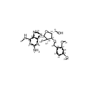 CNc1nc(N)nc2c1ncn2[C@@H]1O[C@H](CO)[C@@H](OCc2ccc(OC)cc2OC)[C@@]1(C)F